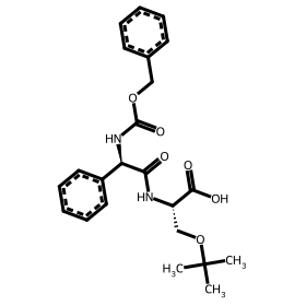 CC(C)(C)OC[C@H](NC(=O)[C@H](NC(=O)OCc1ccccc1)c1ccccc1)C(=O)O